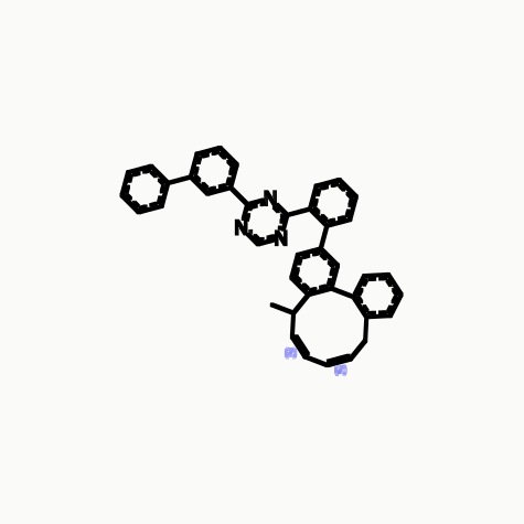 CC1/C=C\C=C/Cc2ccccc2-c2cc(-c3ccccc3-c3ncnc(-c4cccc(-c5ccccc5)c4)n3)ccc21